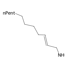 CCCCCCCCCC=CC[NH]